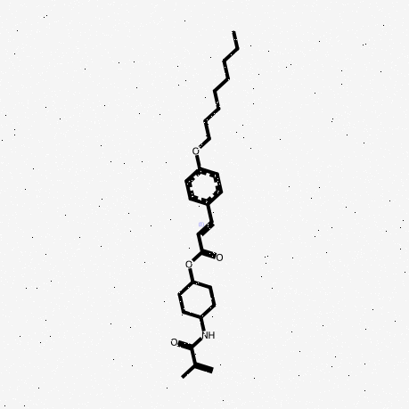 C=C(C)C(=O)NC1CCC(OC(=O)/C=C/c2ccc(OCCCCCCCC)cc2)CC1